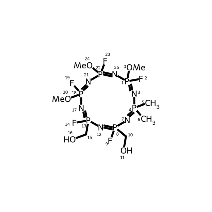 COP1(F)=NP(C)(C)=NP(F)(CO)=NP(F)(CO)=NP(F)(OC)=NP(F)(OC)=N1